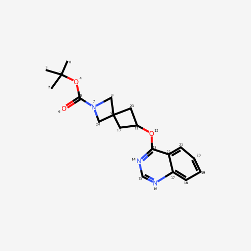 CC(C)(C)OC(=O)N1CC2(CC(Oc3ncnc4ccccc34)C2)C1